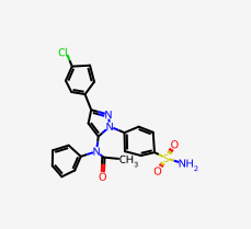 CC(=O)N(c1ccccc1)c1cc(-c2ccc(Cl)cc2)nn1-c1ccc(S(N)(=O)=O)cc1